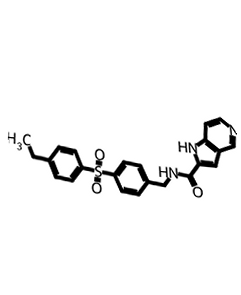 CCc1ccc(S(=O)(=O)c2ccc(CNC(=O)c3cc4cnccc4[nH]3)cc2)cc1